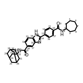 O=C(NC1CCCCCC1)c1ccc(-c2nc3cc(C(=O)NC45CC6CC(CC(C6)C4)C5)ccc3[nH]2)cc1